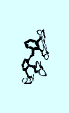 C1=NC(c2c(Cc3cccc(C4=NCCO4)c3C3COC=N3)cccc2C2=NCCO2)CO1